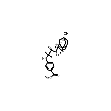 COC(=O)c1ccc(NC(C)(C)C(=O)N[C@H]2[C@@H]3CC4C[C@H]2C[C@](O)(C4)C3)cc1